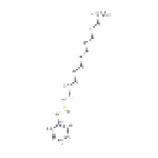 CNCCCCCCCCCCCCSCc1ccccc1